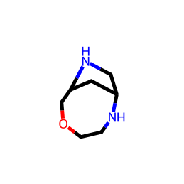 C1COCC2CC(CN2)N1